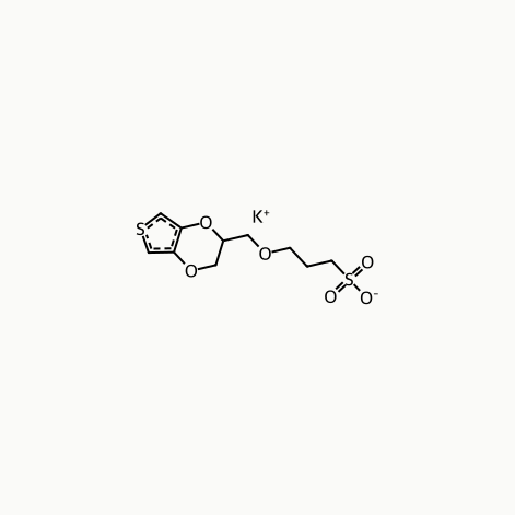 O=S(=O)([O-])CCCOCC1COc2cscc2O1.[K+]